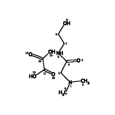 CN(C)CC(=O)NCCO.O=C(O)C(=O)O